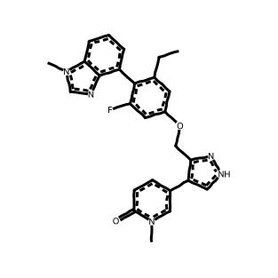 CCc1cc(OCc2n[nH]cc2-c2ccc(=O)n(C)c2)cc(F)c1-c1cccc2c1ncn2C